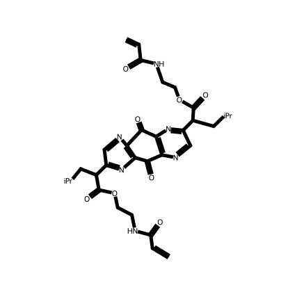 C=CC(=O)NCCOC(=O)C(CC(C)C)c1cnc2c(n1)C(=O)c1ncc(C(CC(C)C)C(=O)OCCNC(=O)C=C)nc1C2=O